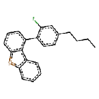 CCCCc1ccc(-c2cccc3sc4ccccc4c23)c(F)c1